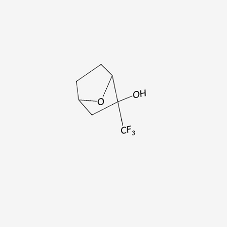 OC1(C(F)(F)F)CC2CCC1O2